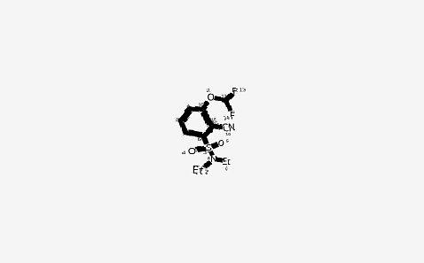 CCN(CC)S(=O)(=O)c1cccc(OC(F)F)c1C#N